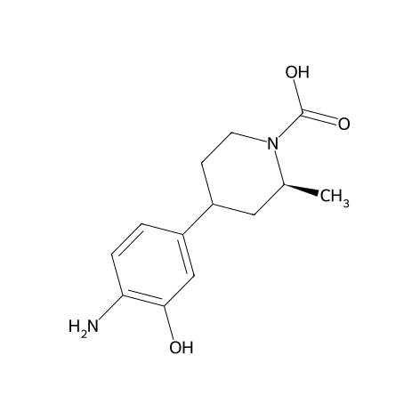 C[C@H]1CC(c2ccc(N)c(O)c2)CCN1C(=O)O